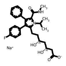 CNC(=O)c1c(-c2ccccc2)c(-c2ccc(F)cc2)c(CC[C@@H](O)C[C@@H](O)CC(=O)[O-])n1C(C)C.[Na+]